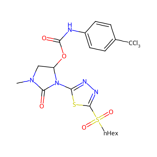 CCCCCCS(=O)(=O)c1nnc(N2C(=O)N(C)CC2OC(=O)Nc2ccc(C(Cl)(Cl)Cl)cc2)s1